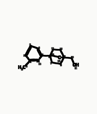 Cc1cccc(C23CCC(CO)(CC2)CC3)n1